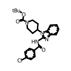 CC(C)(C)OC(=O)N1CCC(n2c(NC(=O)c3ccc(Cl)cc3)nc3ccccc32)CC1